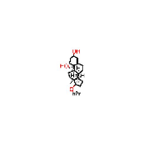 CCCOC1CC[C@H]2[C@@H]3CCC4=CC(O)CC[C@]4(CO)[C@@H]3CC[C@]12C